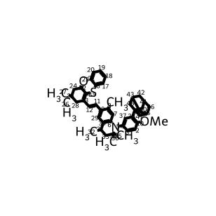 COc1ccc(N2c3cc(C)c(/C=C/C4=C(Sc5ccccc5)C(=O)CC(C)(C)C4)cc3C(C)CC2(C)C)cc1C12CC3CC(CC(C3)C1)C2